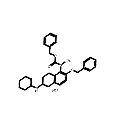 CN(C(=O)OCc1ccccc1)c1c(OCc2ccccc2)ccc2c1CCC(NC1CCCCC1)C2.Cl